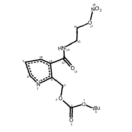 CC(C)(C)OC(=O)OCc1ncccc1C(=O)NCCO[N+](=O)[O-]